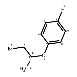 C[C@H](CBr)Oc1ccc(F)cc1